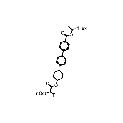 CCCCCCCC[C@H](F)C(=O)O[C@H]1CC[C@H](c2ccc(-c3ccc(C(=O)O[C@H](C)CCCCCC)cc3)cc2)CC1